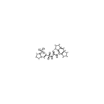 CCS(=O)(=O)N1CCCC1/C=C/S(=O)(=O)NC(=O)Nc1c2c(cc3c1CCC3)CCC2